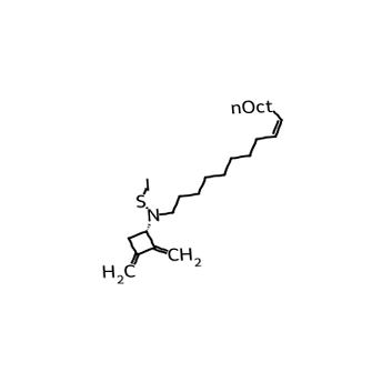 C=C1C[C@H](N(CCCCCCCC/C=C\CCCCCCCC)SI)C1=C